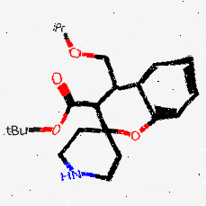 CC(C)OCC1c2ccccc2OC2(CCNCC2)C1C(=O)OC(C)(C)C